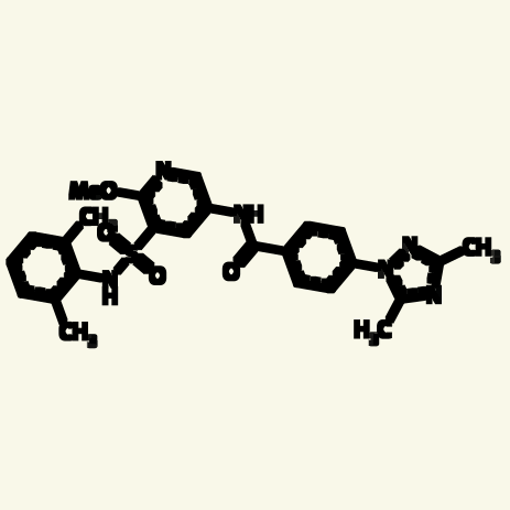 COc1ncc(NC(=O)c2ccc(-n3nc(C)nc3C)cc2)cc1S(=O)(=O)Nc1c(C)cccc1C